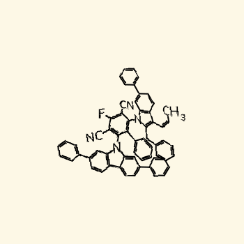 C/C=C\c1c(Cc2ccccc2)n(-c2c(C#N)c(F)c(C#N)c(-n3c4cc(-c5ccccc5)ccc4c4ccc(-c5ccccc5)cc43)c2-c2ccccc2)c2cc(-c3ccccc3)ccc12